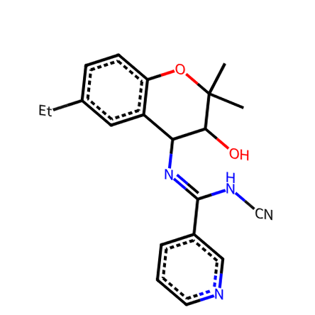 CCc1ccc2c(c1)C(N=C(NC#N)c1cccnc1)C(O)C(C)(C)O2